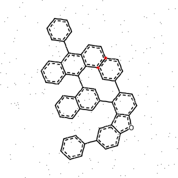 c1ccc(-c2ccc3oc4ccc(-c5ccccc5)c(-c5cc(-c6c7ccccc7c(-c7ccccc7)c7ccccc67)c6ccccc6c5)c4c3c2)cc1